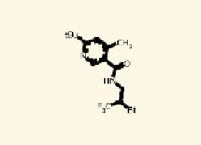 CCC(CNC(=O)c1cnc(C(C)(C)C)cc1C)C(F)(F)F